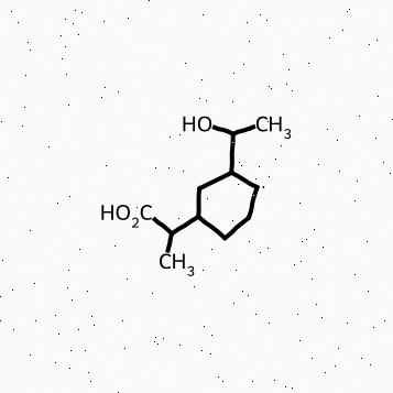 CC(O)C1[CH]CCC(C(C)C(=O)O)C1